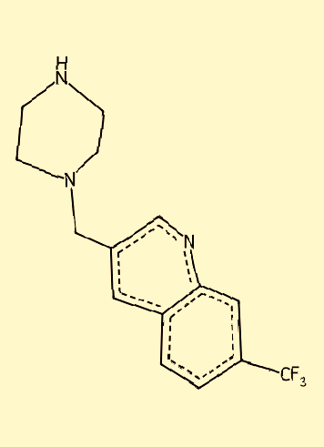 FC(F)(F)c1ccc2cc(CN3CCNCC3)cnc2c1